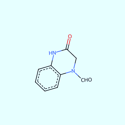 O=CN1CC(=O)Nc2ccccc21